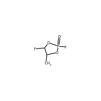 CC1OP(=O)(F)OC1F